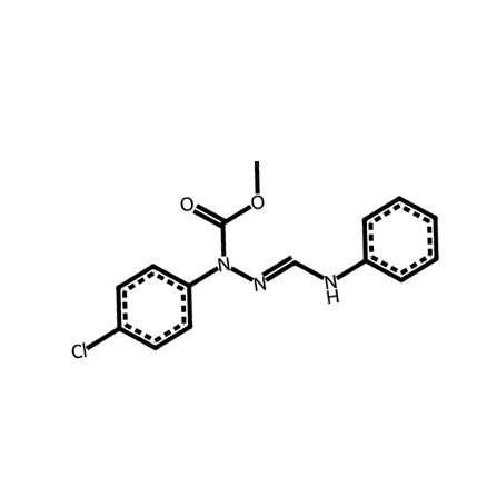 COC(=O)N(N=CNc1ccccc1)c1ccc(Cl)cc1